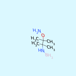 BNC(C)(C)C(C)(C)ON